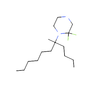 CCCCCCC(C)(CCCC)N1CCNCC1(F)F